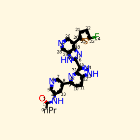 CCCC(=O)Nc1cncc(-c2ccc3[nH]nc(-c4nc5c(-c6ccc(F)s6)cncc5[nH]4)c3n2)c1